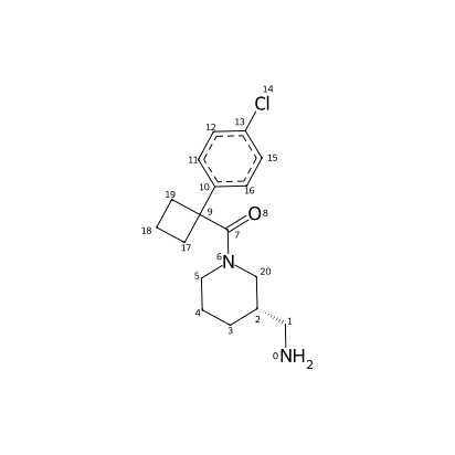 NC[C@@H]1CCCN(C(=O)C2(c3ccc(Cl)cc3)CCC2)C1